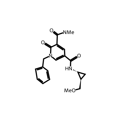 CNC(=O)c1cc(C(=O)N[C@@H]2C[C@H]2COC)cn(Cc2ccccc2)c1=O